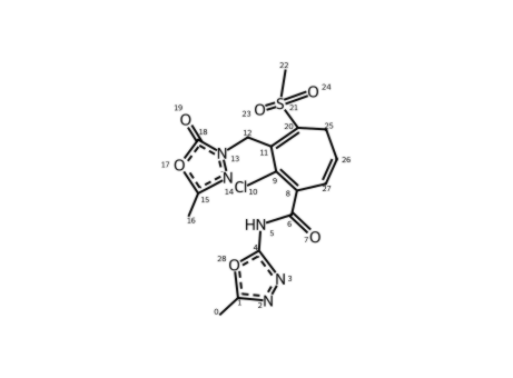 Cc1nnc(NC(=O)C2=C(Cl)C(Cn3nc(C)oc3=O)=C(S(C)(=O)=O)CC=C2)o1